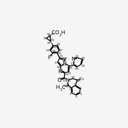 C[C@@H]1c2ccccc2C(F)CN1C(=O)c1cc(-c2ccccn2)n2nc(-c3ccc([C@H]4C[C@@H]4C(=O)O)cc3F)cc2n1